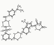 CN(C)c1cnc(NC2CCN(S(=O)(=O)c3cccc(CN4CCC(c5ccc6c(N7CCC(=O)NC7=O)nn(C)c6c5)CC4)c3)CC2)nc1